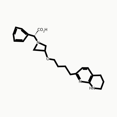 O=C(O)[C@@H](c1ccccc1)N1CC(OCCCCc2ccc3c(n2)NCCC3)C1